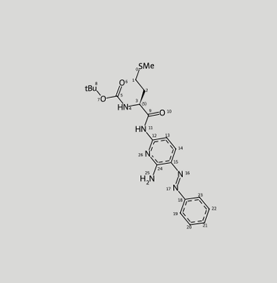 CSCC[C@H](NC(=O)OC(C)(C)C)C(=O)Nc1ccc(N=Nc2ccccc2)c(N)n1